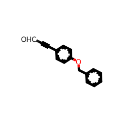 O=CC#Cc1ccc(OCc2ccccc2)cc1